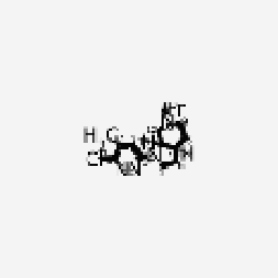 Cc1cc(N2CC[C@@H]3CCN(C(C)C)C[C@@H]32)nnc1Cl